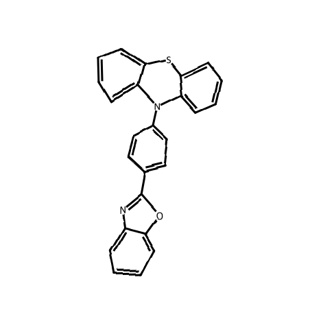 c1ccc2c(c1)Sc1ccccc1N2c1ccc(-c2nc3ccccc3o2)cc1